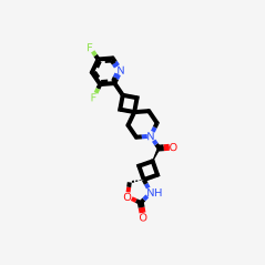 O=C1N[C@]2(CO1)C[C@H](C(=O)N1CCC3(CC1)CC(c1ncc(F)cc1F)C3)C2